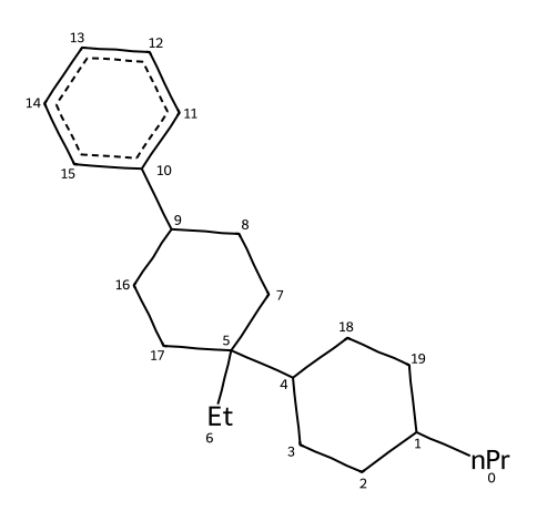 CCCC1CCC(C2(CC)CCC(c3ccccc3)CC2)CC1